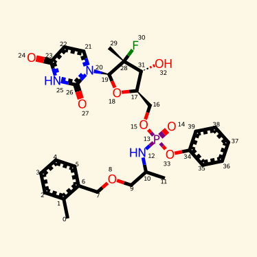 Cc1ccccc1COCC(C)NP(=O)(OC[C@H]1O[C@@H](n2ccc(=O)[nH]c2=O)[C@](C)(F)[C@@H]1O)Oc1ccccc1